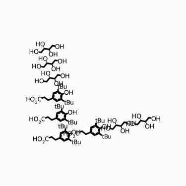 CC(C)(C)c1cc(CCC(=O)O)cc(C(C)(C)C)c1O.CC(C)(C)c1cc(CCC(=O)O)cc(C(C)(C)C)c1O.CC(C)(C)c1cc(CCC(=O)O)cc(C(C)(C)C)c1O.CC(C)(C)c1cc(CCC(=O)O)cc(C(C)(C)C)c1O.OC[C@@H](O)[C@@H](O)CO.OC[C@@H](O)[C@@H](O)CO.OC[C@@H](O)[C@@H](O)CO.OC[C@@H](O)[C@@H](O)CO.OC[C@@H](O)[C@@H](O)CO